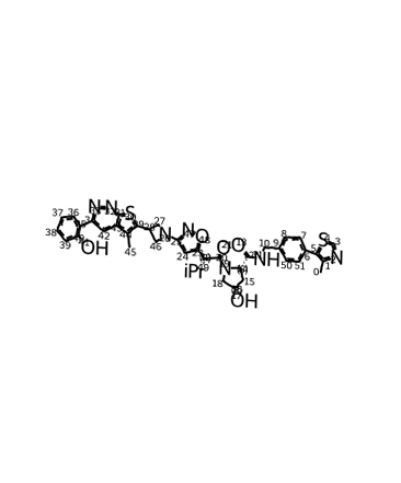 Cc1ncsc1-c1ccc(CNC(=O)[C@@H]2C[C@@H](O)CN2C(=O)[C@@H](c2cc(N3CC(c4sc5nnc(-c6ccccc6O)cc5c4C)C3)no2)C(C)C)cc1